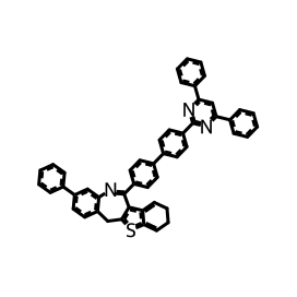 C1=c2sc3c(c2=CCC1)C(c1ccc(-c2ccc(-c4nc(-c5ccccc5)cc(-c5ccccc5)n4)cc2)cc1)=Nc1cc(-c2ccccc2)ccc1C3